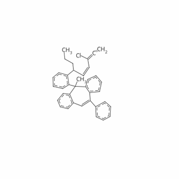 C=C=C(Cl)/C=C\C(CCC)c1ccccc1C1(C)c2ccccc2C=C(c2ccccc2)c2ccccc21